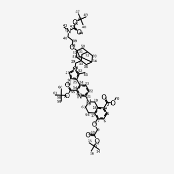 COC(=O)c1ccc(OCC(=O)OC(C)(C)C)c2c1CN(c1ccc(-c3ccn(CC45CC6CC(C4)CC(OCCN(C)C(=O)OC(C)(C)C)(C6)C5)c3C)c(C(=O)OC(C)(C)C)n1)CC2